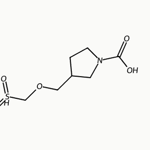 O=C(O)N1CCC(COC[SH](=O)=O)C1